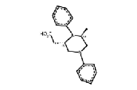 C[C@H]1CN(c2ccccc2)C[C@H](CC(=O)O)N1c1ccccc1